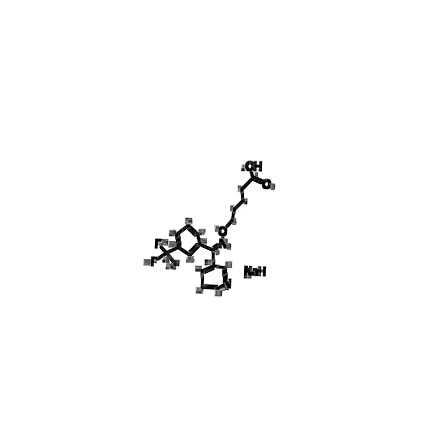 O=C(O)CCCCO/N=C(/c1cccnc1)c1cccc(C(F)(F)F)c1.[NaH]